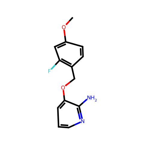 COc1ccc(COc2cccnc2N)c(F)c1